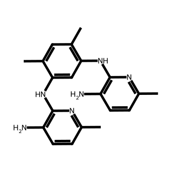 Cc1ccc(N)c(Nc2cc(Nc3nc(C)ccc3N)c(C)cc2C)n1